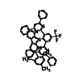 Cc1cc(C)c(-c2ccc3c4ccccc4n(-c4c(-c5nc(-c6ccccc6)cc(-c6ccccc6)n5)cc(C(F)(F)F)cc4-c4nc(-c5ccccc5)cc(-c5ccccc5)n4)c3c2)c(C)c1